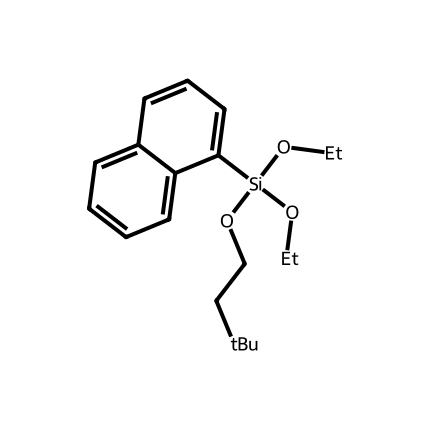 CCO[Si](OCC)(OCCC(C)(C)C)c1cccc2ccccc12